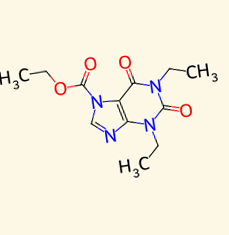 CCOC(=O)n1cnc2c1c(=O)n(CC)c(=O)n2CC